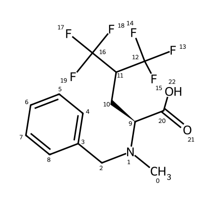 CN(Cc1ccccc1)[C@@H](CC(C(F)(F)F)C(F)(F)F)C(=O)O